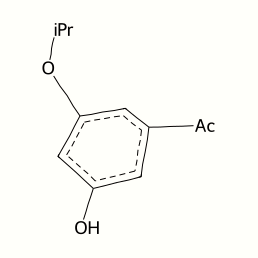 CC(=O)c1cc(O)cc(OC(C)C)c1